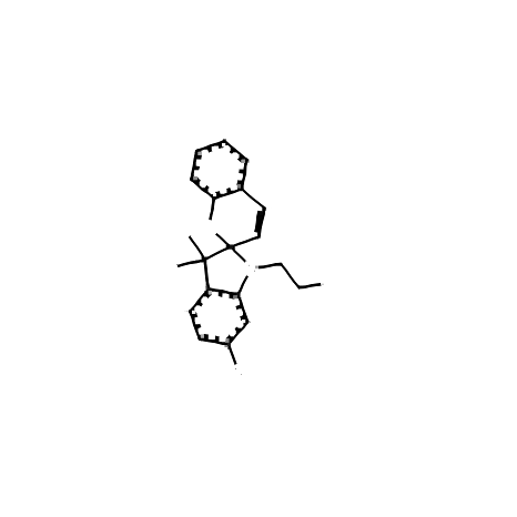 CC1(C)c2ccc([N+](=O)[O-])cc2N(CCO)C12C=Cc1ccccc1O2